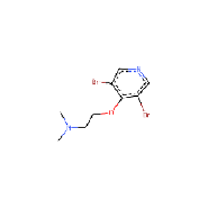 CN(C)CCOc1c(Br)cncc1Br